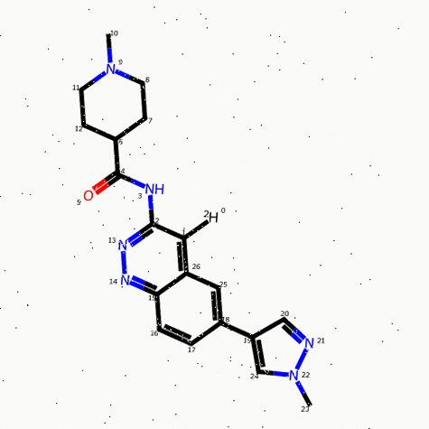 [2H]c1c(NC(=O)C2CCN(C)CC2)nnc2ccc(-c3cnn(C)c3)cc12